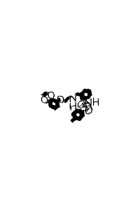 Cc1ccc(S(=O)(=O)Nc2cccc(CNCCOc3cccc4c3OCCO4)c2)cc1